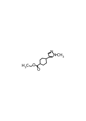 CCOC(=O)C1CCC(c2cnn(C)c2)CC1